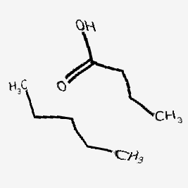 CCCC(=O)O.CCCCC